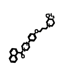 CC1CCCN(CCCOc2ccc(N3CCN(C(=O)c4cccc5ccccc45)CC3)cc2)C1